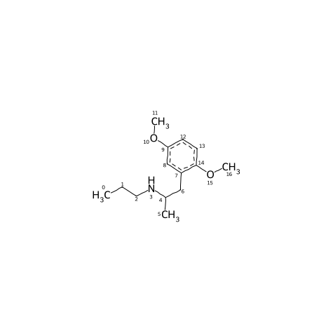 CCCNC(C)Cc1cc(OC)ccc1OC